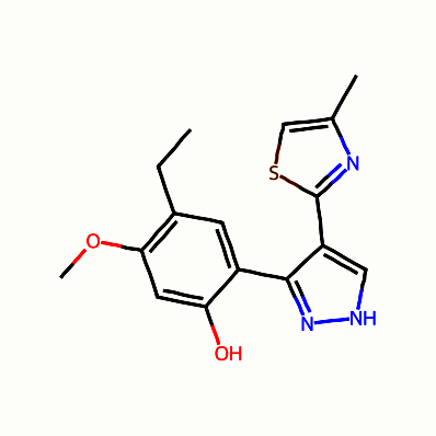 CCc1cc(-c2n[nH]cc2-c2nc(C)cs2)c(O)cc1OC